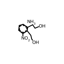 N.O=[N+]([O-])c1cccc(CCO)c1CCO